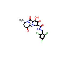 C[C@H]1CCC(=O)[C@H]2CN1C(=O)c1c(O)c(=O)c(C(=O)NCc3c(F)cc(F)cc3F)cn12